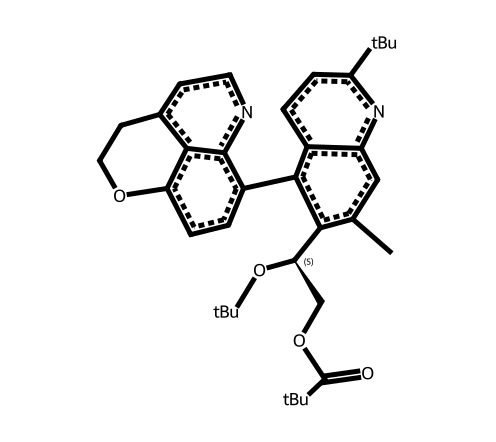 Cc1cc2nc(C(C)(C)C)ccc2c(-c2ccc3c4c(ccnc24)CCO3)c1[C@@H](COC(=O)C(C)(C)C)OC(C)(C)C